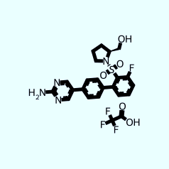 Nc1ncc(-c2ccc(-c3cccc(F)c3S(=O)(=O)N3CCC[C@H]3CO)cc2)cn1.O=C(O)C(F)(F)F